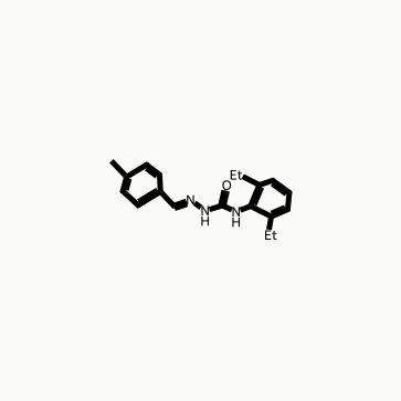 CCc1cccc(CC)c1NC(=O)N/N=C/c1ccc(C)cc1